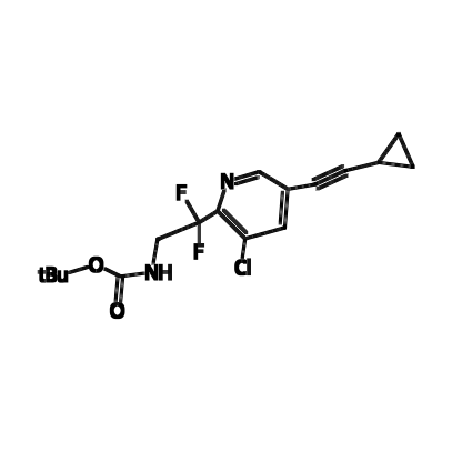 CC(C)(C)OC(=O)NCC(F)(F)c1ncc(C#CC2CC2)cc1Cl